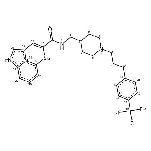 O=C(NCC1CCN(CCCc2ccc(C(F)(F)F)cc2)CC1)C1=Cc2cnc3cccc(n23)S1